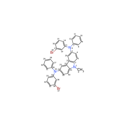 Cn1c2ccc(N(c3ccccc3)c3cccc(Br)c3)cc2c2cc(N(c3ccccc3)c3cccc(Br)c3)ccc21